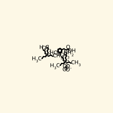 CCCC[N+](CCCC)(CCCC)CCCC.CCCC[N+](CCCC)(CCCC)CCCC.NC(Cc1ccc(O)cc1)C(=O)O.O=S(=O)([O-])[O-]